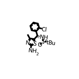 Cc1nc(N)sc1[C@@H](N[S+]([O-])C(C)(C)C)c1ccccc1Cl